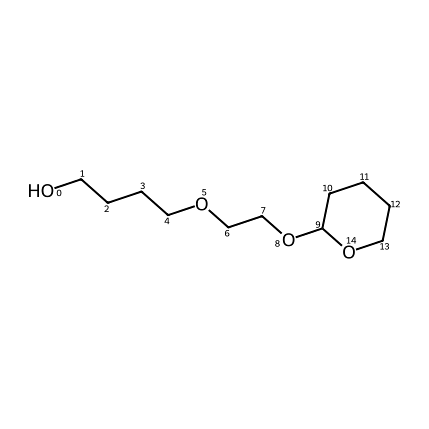 OCCCCOCCOC1CCCCO1